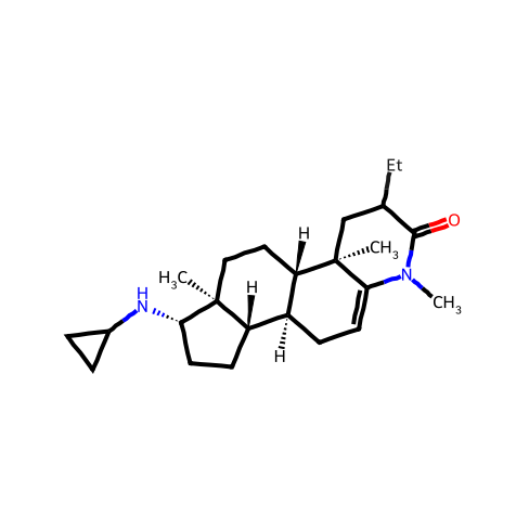 CCC1C[C@@]2(C)C(=CC[C@H]3[C@@H]4CC[C@H](NC5CC5)[C@@]4(C)CC[C@@H]32)N(C)C1=O